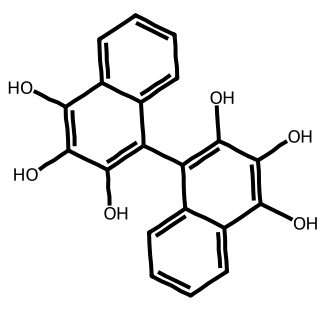 Oc1c(O)c(-c2c(O)c(O)c(O)c3ccccc23)c2ccccc2c1O